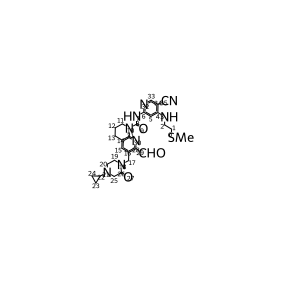 CSCCNc1cc(NC(=O)N2CCCc3cc(CN4CCN(C5CC5)CC4=O)c(C=O)nc32)ncc1C#N